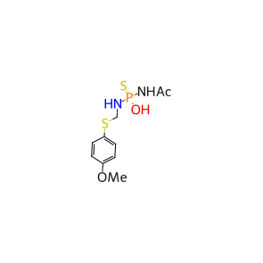 COc1ccc(SCNP(O)(=S)NC(C)=O)cc1